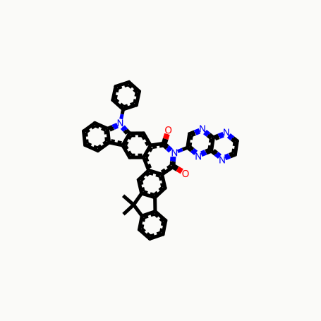 CC1(C)c2ccccc2-c2cc3c(=O)n(-c4cnc5nccnc5n4)c(=O)c4cc5c(cc4c3cc21)c1ccccc1n5-c1ccccc1